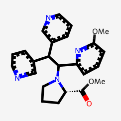 COC(=O)[C@@H]1CCCN1C(c1cccc(OC)n1)C(c1cccnc1)c1cccnc1